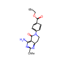 COc1nc(N)c2c(n1)CCN(c1ccc(C(=O)OCC(C)(C)C)cc1)C2=O